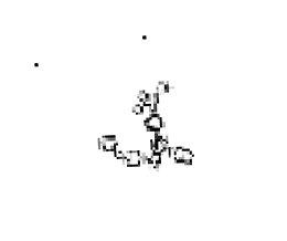 O=C(O)N(CCO)c1ccc(-c2nc(N3CC4CCC(C3)O4)c3cnn(C4CCN(Cc5cccnc5)CC4)c3n2)cc1